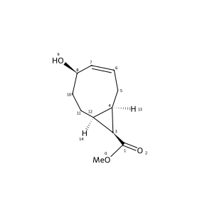 COC(=O)[C@@H]1[C@@H]2C/C=C\[C@H](O)CC[C@@H]21